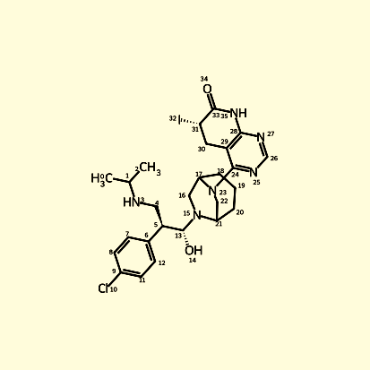 CC(C)NC[C@H](c1ccc(Cl)cc1)[C@@H](O)N1CC2CCCC1CN2c1ncnc2c1C[C@H](I)C(=O)N2